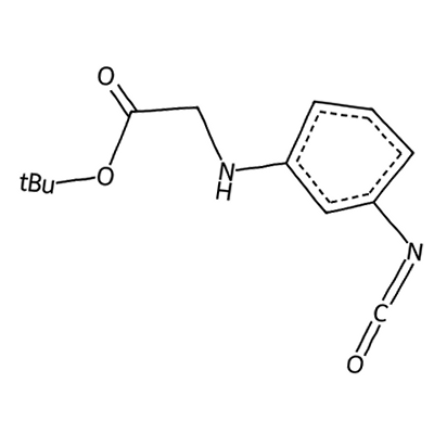 CC(C)(C)OC(=O)CNc1cccc(N=C=O)c1